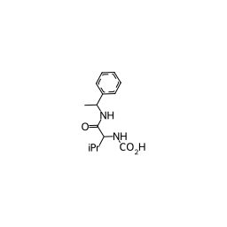 CC(NC(=O)C(NC(=O)O)C(C)C)c1ccccc1